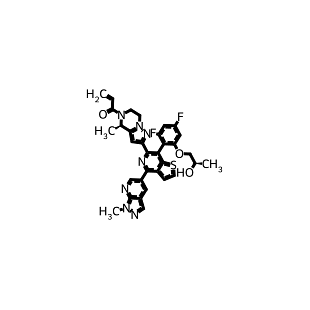 C=CC(=O)N1CCn2nc(-c3nc(-c4cnc5c(cnn5C)c4)c4ccsc4c3-c3c(F)cc(F)cc3OC[C@@H](C)O)cc2[C@H]1C